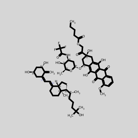 C=C1/C(=C\C=C2/CCC[C@]3(C)[C@@H]([C@H](C)CCCC(C)(C)O)CC[C@@H]23)C[C@@H](O)C[C@@H]1O.CCCCC(=O)OCC(=O)[C@]1(O)Cc2c(O)c3c(c(O)c2[C@@H](O[C@H]2C[C@H](NC(=O)C(F)(F)F)[C@H](O)[C@H](C)O2)C1)C(=O)c1c(OC)cccc1C3=O